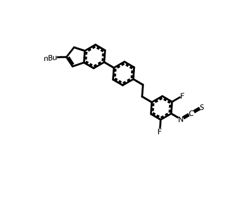 CCCCC1=Cc2cc(-c3ccc(CCc4cc(F)c(N=C=S)c(F)c4)cc3)ccc2C1